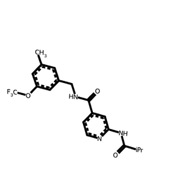 Cc1cc(CNC(=O)c2ccnc(NC(=O)C(C)C)c2)cc(OC(F)(F)F)c1